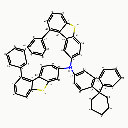 c1ccc(-c2cccc3sc4cc(N(c5ccc(C6(c7ccccc7)CCCCC6)cc5)c5ccc6sc7cccc(-c8ccccc8)c7c6c5)ccc4c23)cc1